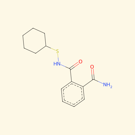 NC(=O)c1ccccc1C(=O)NSC1CCCCC1